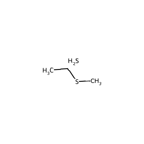 CCSC.S